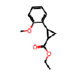 CCOC(=O)C1CC1c1ccccc1OC